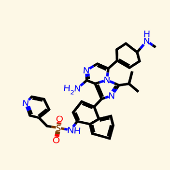 CNC1CC=C(c2cnc(N)c3c(-c4ccc(NS(=O)(=O)Cc5cccnc5)c5ccccc45)nc(C(C)C)n23)CC1